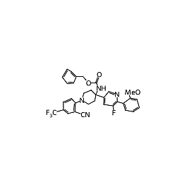 COc1ccccc1-c1ncc(C2(NC(=O)OCc3ccccc3)CCN(c3ccc(C(F)(F)F)cc3C#N)CC2)cc1F